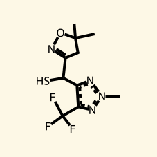 Cn1nc(C(S)C2=NOC(C)(C)C2)c(C(F)(F)F)n1